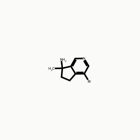 CC1(N)CCc2c(Br)cncc21